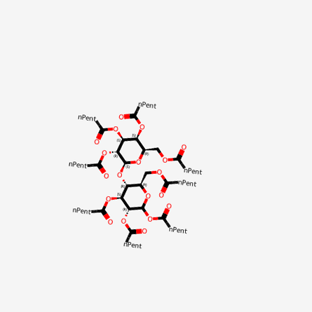 CCCCCC(=O)OC[C@H]1O[C@@H](O[C@H]2[C@H](OC(=O)CCCCC)[C@@H](OC(=O)CCCCC)C(OC(=O)CCCCC)O[C@@H]2COC(=O)CCCCC)[C@H](OC(=O)CCCCC)[C@@H](OC(=O)CCCCC)[C@H]1OC(=O)CCCCC